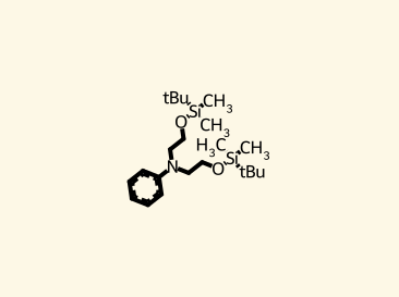 CC(C)(C)[Si](C)(C)OCCN(CCO[Si](C)(C)C(C)(C)C)c1ccccc1